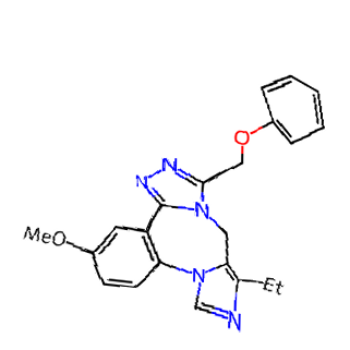 CCc1ncn2c1Cn1c(COc3ccccc3)nnc1-c1cc(OC)ccc1-2